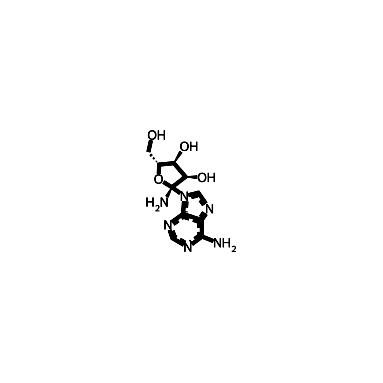 Nc1ncnc2c1ncn2[C@]1(N)O[C@H](CO)[C@@H](O)[C@H]1O